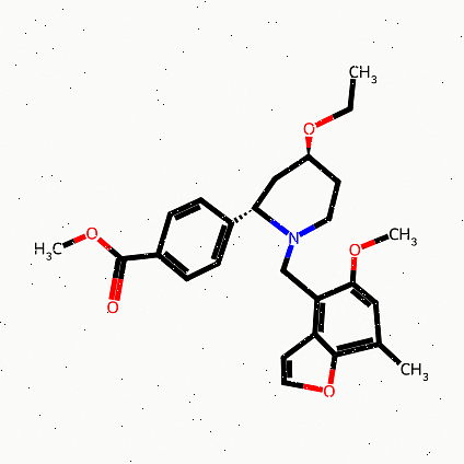 CCO[C@H]1CCN(Cc2c(OC)cc(C)c3occc23)[C@H](c2ccc(C(=O)OC)cc2)C1